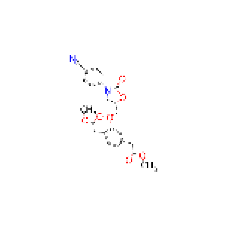 COC(=O)Cc1ccc(CC(=O)OC)c(OCC2CN(c3ccc(C#N)cc3)C(=O)O2)c1